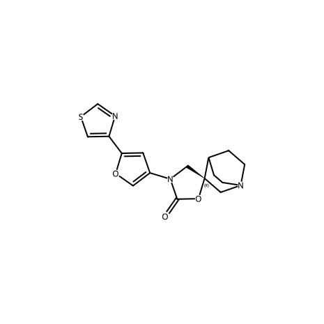 O=C1O[C@]2(CN3CCC2CC3)CN1c1coc(-c2cscn2)c1